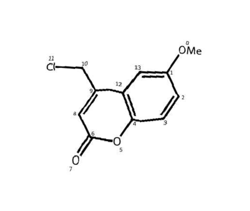 COc1ccc2oc(=O)cc(CCl)c2c1